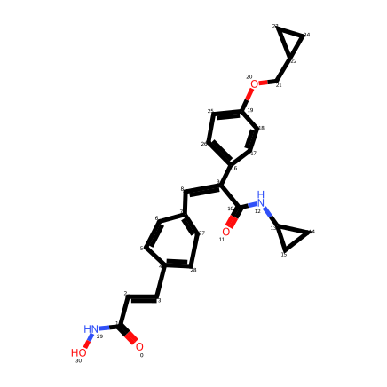 O=C(C=Cc1ccc(C=C(C(=O)NC2CC2)c2ccc(OCC3CC3)cc2)cc1)NO